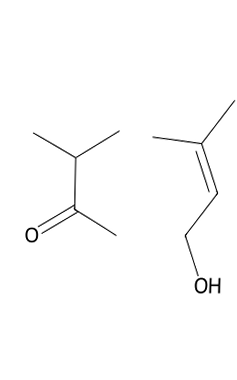 CC(=O)C(C)C.CC(C)=CCO